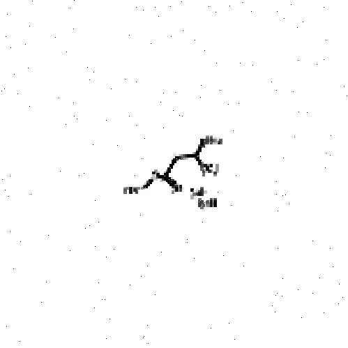 CCCCCCCCCCOC(=O)CC(CCCCCC)C(=O)O.[NaH].[NaH]